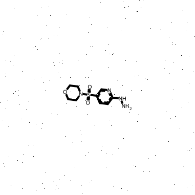 NNc1ccc(S(=O)(=O)N2CCOCC2)cn1